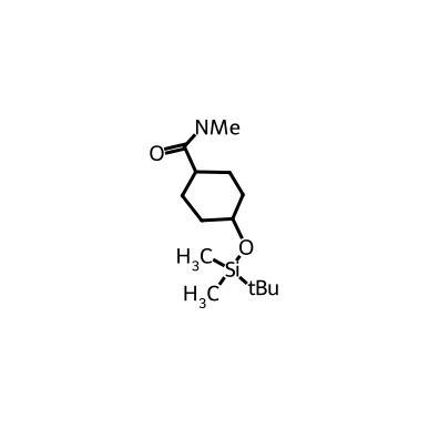 CNC(=O)C1CCC(O[Si](C)(C)C(C)(C)C)CC1